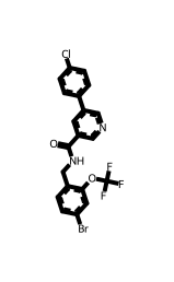 O=C(NCc1ccc(Br)cc1OC(F)(F)F)c1cncc(-c2ccc(Cl)cc2)c1